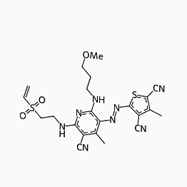 C=CS(=O)(=O)CCNc1nc(NCCCOC)c(/N=N/c2sc(C#N)c(C)c2C#N)c(C)c1C#N